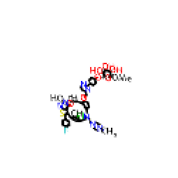 CO[C@H]1O[C@H](COc2ccc(-c3nccc(COc4ccc5cc4C[C@H](C(=O)O)Oc4ncnc6sc(-c7ccc(F)cc7)c(c46)-c4ccc(c(Cl)c4C)CN(CCN4CCN(C)CC4)C5)n3)cc2)[C@@H](O)[C@H](O)[C@@H]1O